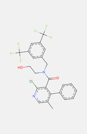 Cc1cnc(Cl)c(C(=O)N(CCO)Cc2cc(C(F)(F)F)cc(C(F)(F)F)c2)c1-c1ccccc1